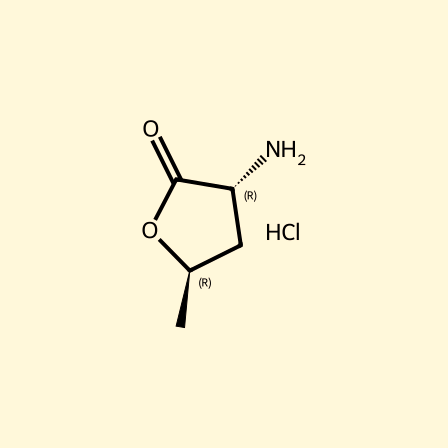 C[C@@H]1C[C@@H](N)C(=O)O1.Cl